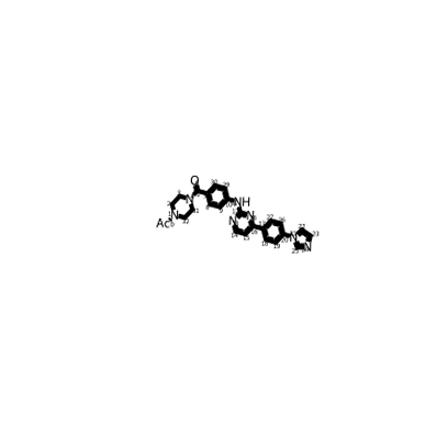 CC(=O)N1CCN(C(=O)c2ccc(Nc3nccc(-c4ccc(-n5ccnc5)cc4)n3)cc2)CC1